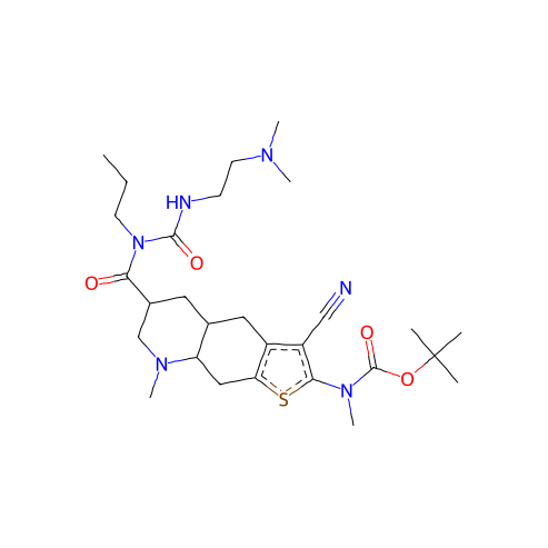 CCCN(C(=O)NCCN(C)C)C(=O)C1CC2Cc3c(sc(N(C)C(=O)OC(C)(C)C)c3C#N)CC2N(C)C1